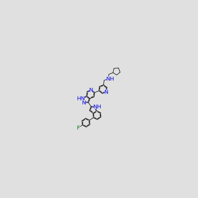 Fc1ccc(-c2cccc3[nH]c(-c4n[nH]c5cnc(-c6cncc(CNCC7CCCC7)c6)cc45)cc23)cc1